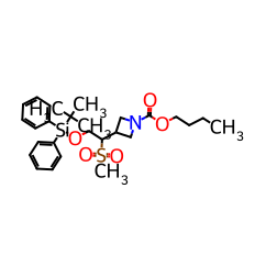 CCCCOC(=O)N1CC(C(CO[Si](c2ccccc2)(c2ccccc2)C(C)(C)C)S(C)(=O)=O)C1